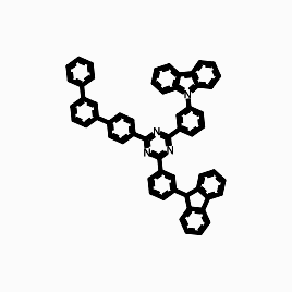 c1ccc(-c2cccc(-c3ccc(-c4nc(-c5cccc(C6c7ccccc7-c7ccccc76)c5)nc(-c5cccc(-n6c7ccccc7c7ccccc76)c5)n4)cc3)c2)cc1